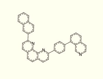 c1ccc2cc(-c3ccc4ccc5ccc(-c6ccc(-c7cccc8ccncc78)cc6)nc5c4n3)ccc2c1